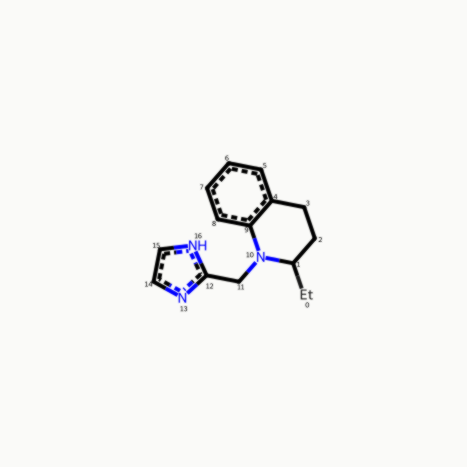 CCC1CCc2ccccc2N1Cc1ncc[nH]1